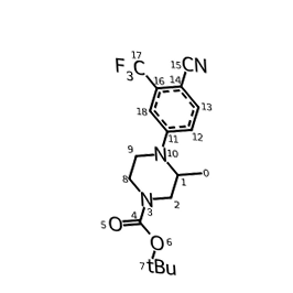 CC1CN(C(=O)OC(C)(C)C)CCN1c1ccc(C#N)c(C(F)(F)F)c1